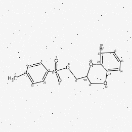 Cc1ccc(S(=O)(=O)OCC2COc3cccc(Br)c3O2)cc1